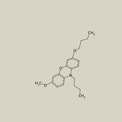 CCCCOc1ccc2c(c1)Oc1cc(OC)ccc1N2CCCC